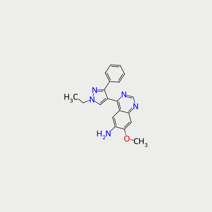 CCn1cc(-c2ncnc3cc(OC)c(N)cc23)c(-c2ccccc2)n1